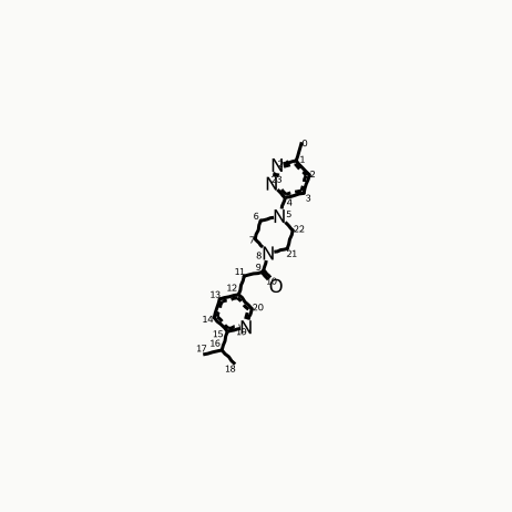 Cc1ccc(N2CCN(C(=O)Cc3ccc(C(C)C)nc3)CC2)nn1